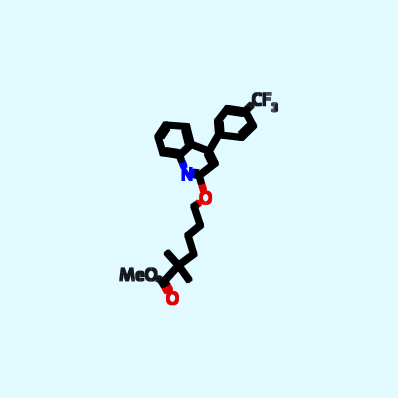 COC(=O)C(C)(C)CCCCOc1cc(-c2ccc(C(F)(F)F)cc2)c2ccccc2n1